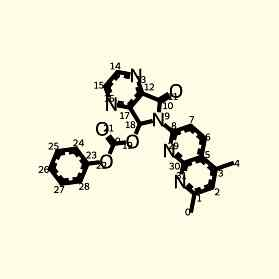 Cc1cc(C)c2ccc(N3C(=O)c4nccnc4C3OC(=O)Oc3ccccc3)nc2n1